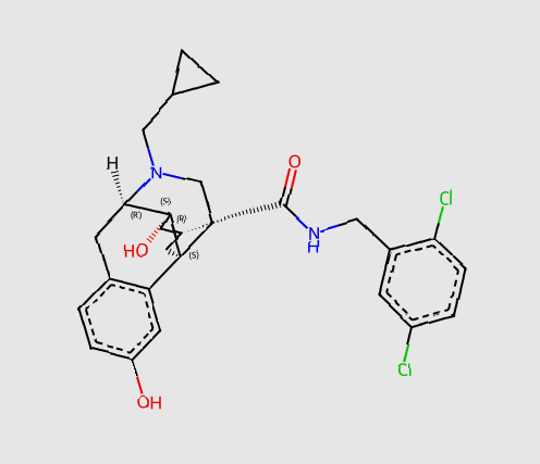 O=C(NCc1cc(Cl)ccc1Cl)[C@@H]1C[C@]23CCN(CC4CC4)[C@H](Cc4ccc(O)cc42)[C@]3(O)C1